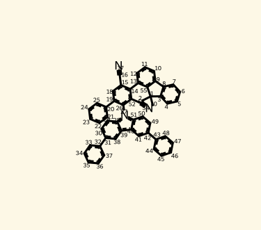 CC1(C)c2ccccc2-c2cccc(-c3c(C#N)cc(-c4ccccc4)c(-n4c5ccc(-c6ccccc6)cc5c5cc(-c6ccccc6)ccc54)c3C#N)c21